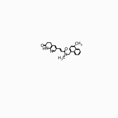 Cc1ccc(CN(C)C(=O)C=Cc2cnc3c(c2)CCC(=O)N3)c2ccccc12